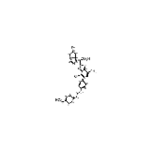 Cc1cc(-c2ccc(OCCN3CCC(CO)CC3)cc2)c(Cl)c2nn(C(C(=O)O)c3ncn4c3CC(F)C4)cc12